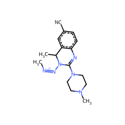 C/N=N\N1C(N2CCN(C)CC2)=Nc2ccc(C#N)cc2C1C